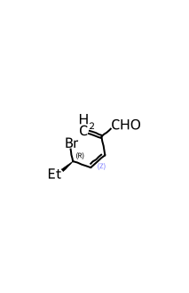 C=C(C=O)/C=C\[C@H](Br)CC